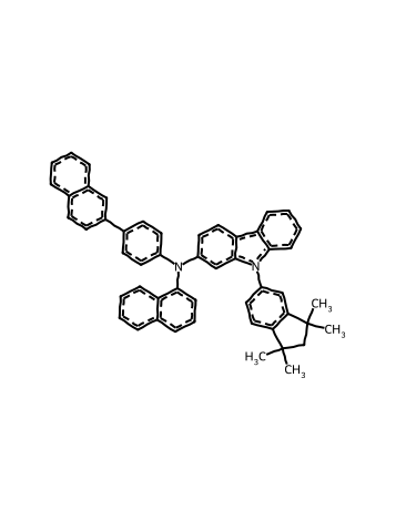 CC1(C)CC(C)(C)c2cc(-n3c4ccccc4c4ccc(N(c5ccc(-c6ccc7ccccc7c6)cc5)c5cccc6ccccc56)cc43)ccc21